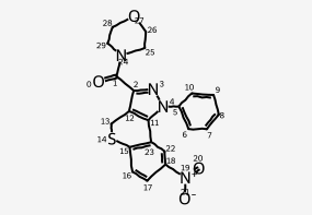 O=C(c1nn(-c2ccccc2)c2c1CSc1ccc([N+](=O)[O-])cc1-2)N1CCOCC1